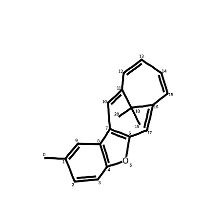 Cc1ccc2oc3c(c2c1)C=C1C=CC=CC(=C3)C1(C)C